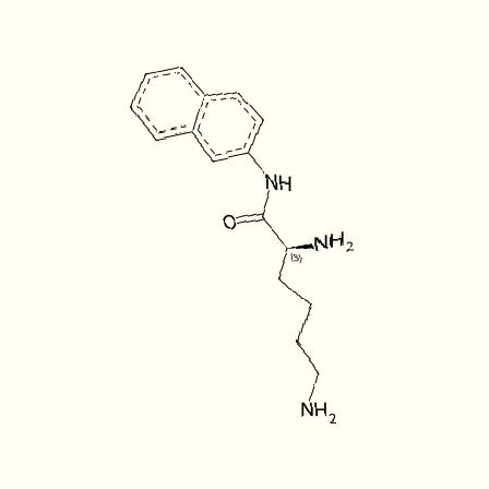 NCCCC[C@H](N)C(=O)Nc1ccc2ccccc2c1